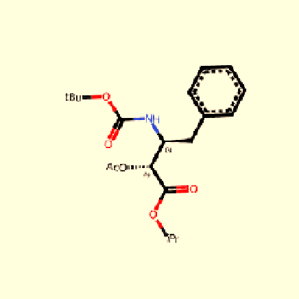 CC(=O)O[C@@H](C(=O)OC(C)C)[C@H](Cc1ccccc1)NC(=O)OC(C)(C)C